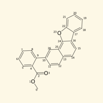 COC(=O)c1ccccc1-c1ccc2ccc3c4ccccc4oc3c2c1